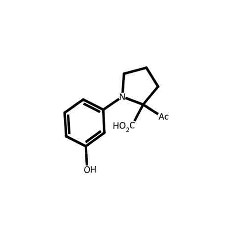 CC(=O)C1(C(=O)O)CCCN1c1cccc(O)c1